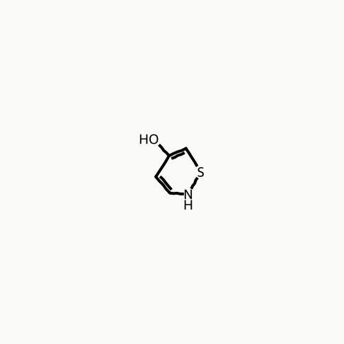 OC1=CSNC=C1